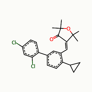 CC1(C)OC(C)(C)/C(=C/c2cc(-c3ccc(Cl)cc3Cl)ccc2C2CC2)C1=O